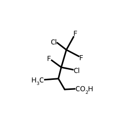 CC(CC(=O)O)C(F)(Cl)C(F)(F)Cl